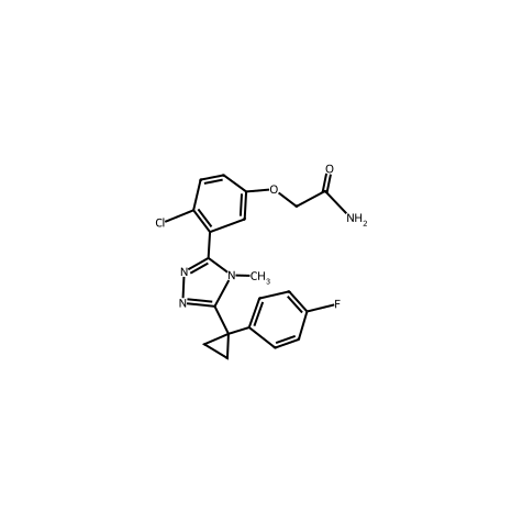 Cn1c(-c2cc(OCC(N)=O)ccc2Cl)nnc1C1(c2ccc(F)cc2)CC1